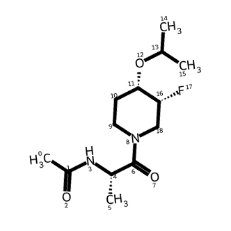 CC(=O)N[C@@H](C)C(=O)N1CC[C@H](OC(C)C)[C@H](F)C1